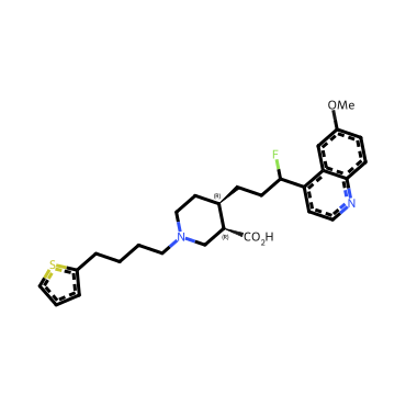 COc1ccc2nccc(C(F)CC[C@@H]3CCN(CCCCc4cccs4)C[C@@H]3C(=O)O)c2c1